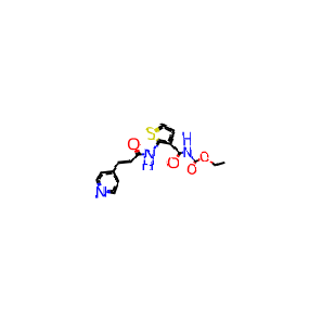 CCOC(=O)NC(=O)c1ccsc1NC(=O)/C=C/c1ccncc1